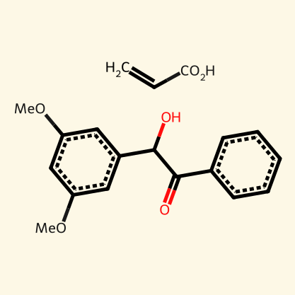 C=CC(=O)O.COc1cc(OC)cc(C(O)C(=O)c2ccccc2)c1